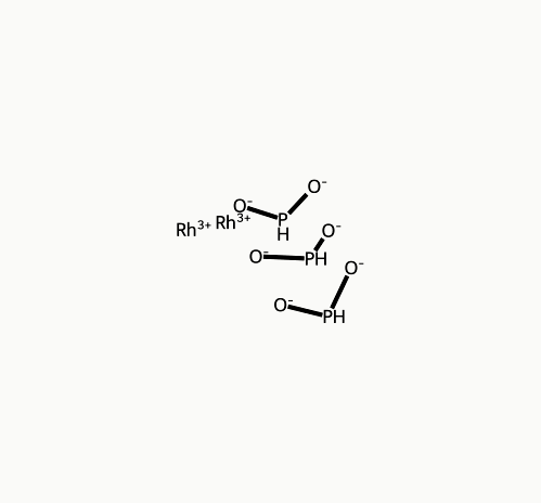 [O-]P[O-].[O-]P[O-].[O-]P[O-].[Rh+3].[Rh+3]